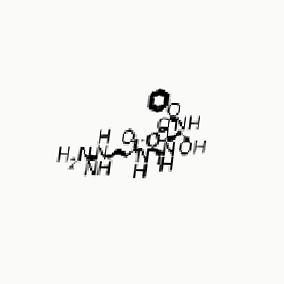 C[C@H](NC(=O)[C@@H](CO)NC(=O)Oc1ccccc1)C(=O)N[C@H]([C]=O)CCCNC(=N)N